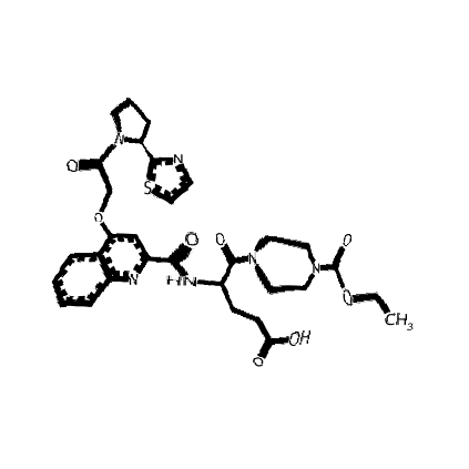 CCOC(=O)N1CCN(C(=O)C(CCC(=O)O)NC(=O)c2cc(OCC(=O)N3CCC[C@H]3c3nccs3)c3ccccc3n2)CC1